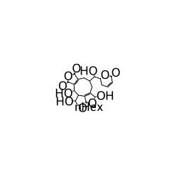 CCCCCCC(O)C1C2=C(CC(C(O)C3CC=CC(=O)O3)CC3=C(C(=O)OC3=O)C1O)C(O)OC2=O